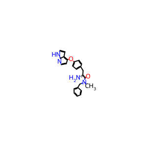 CN(Cc1ccccc1)C(=O)[C@H](N)Cc1ccc(Oc2ccnc3[nH]ccc23)cc1